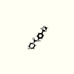 O=C(Nc1ccc(-c2nnco2)cc1)N1CCNCC1